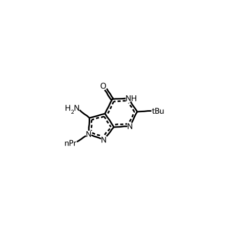 CCCn1nc2nc(C(C)(C)C)[nH]c(=O)c2c1N